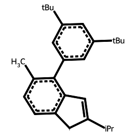 Cc1ccc2c(c1-c1cc(C(C)(C)C)cc(C(C)(C)C)c1)C=C(C(C)C)[CH]2